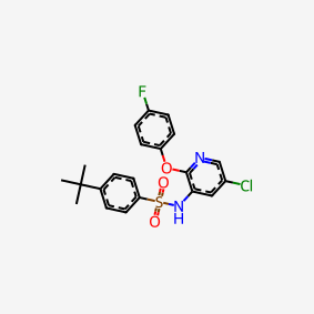 CC(C)(C)c1ccc(S(=O)(=O)Nc2cc(Cl)cnc2Oc2ccc(F)cc2)cc1